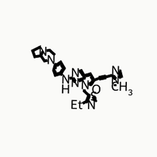 CCc1ncsc1Cn1c(=O)c(C#Cc2nccn2C)cc2cnc(Nc3ccc(N4CCN5CCCC5C4)cc3)nc21